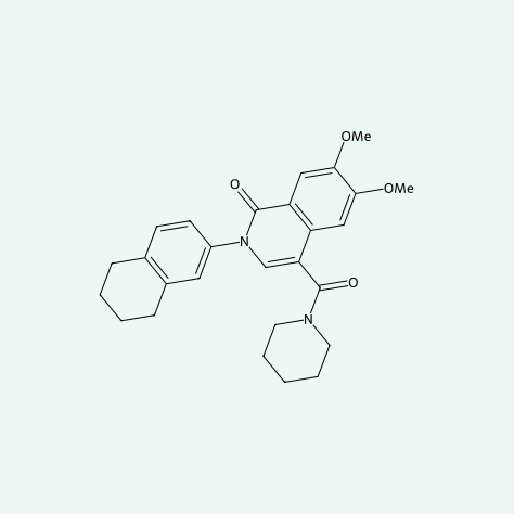 COc1cc2c(C(=O)N3CCCCC3)cn(-c3ccc4c(c3)CCCC4)c(=O)c2cc1OC